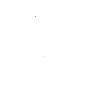 O=C1CCC(N2C(=O)c3cc(F)cc(SCc4ccc(CN5CCCCC5)cc4)c3C2=O)C(=O)N1